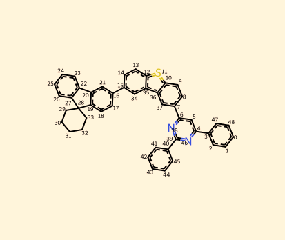 c1ccc(-c2cc(-c3ccc4sc5ccc(-c6ccc7c(c6)-c6ccccc6C76CCCCC6)cc5c4c3)nc(-c3ccccc3)n2)cc1